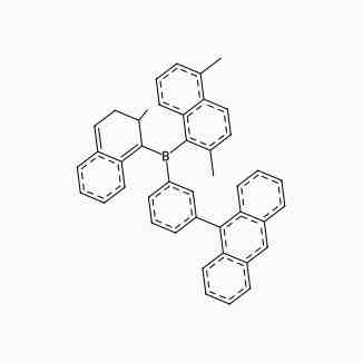 Cc1ccc2c(C)cccc2c1B(C1=c2ccccc2=CCC1C)c1cccc(-c2c3ccccc3cc3ccccc23)c1